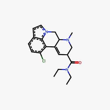 CCN(CC)C(=O)C1C=C2c3c(Cl)ccc4ccn(c34)CC2N(C)C1